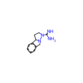 N=C(N)N1CCC2c3ccccc3CN21